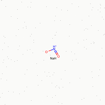 O=[NH+][O-].[NaH]